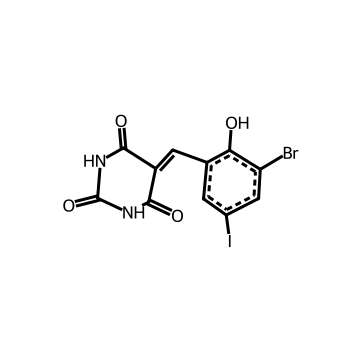 O=C1NC(=O)C(=Cc2cc(I)cc(Br)c2O)C(=O)N1